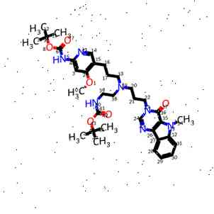 COc1cc(NC(=O)OC(C)(C)C)ncc1CCCN(CCCn1cnc2c3ccccc3n(C)c2c1=O)CCNC(=O)OC(C)(C)C